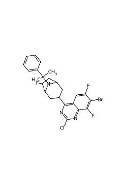 CC(C)(c1ccccc1)N1C2CC(c3nc(Cl)nc4c(F)c(Br)c(F)cc34)CC1C(F)C2